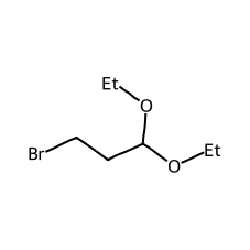 CCOC(CCBr)OCC